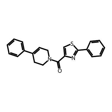 O=C(c1csc(-c2ccccc2)n1)N1CC=C(c2ccccc2)CC1